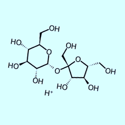 OC[C@H]1O[C@@](CO)(O[C@H]2O[C@H](CO)[C@@H](O)[C@H](O)[C@H]2O)[C@@H](O)[C@@H]1O.[H+]